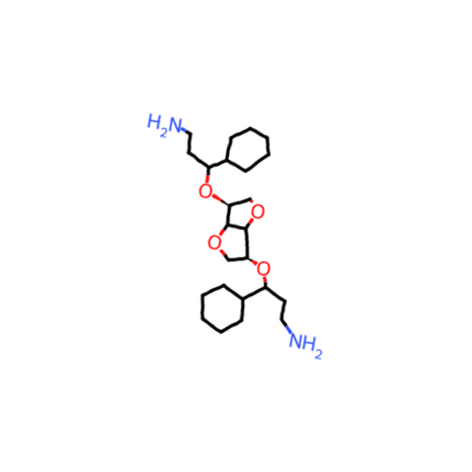 NCCC(O[C@H]1COC2C1OC[C@@H]2OC(CCN)C1CCCCC1)C1CCCCC1